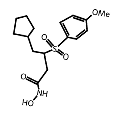 COc1ccc(S(=O)(=O)C(CC(=O)NO)CC2CCCC2)cc1